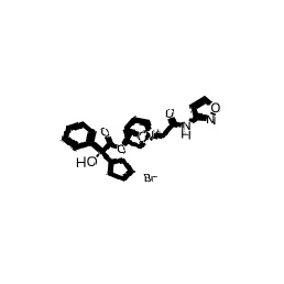 O=C(C[N+]12CCC(CC1)C(OC(=O)[C@](O)(c1ccccc1)C1CCCC1)C2)Nc1ccon1.[Br-]